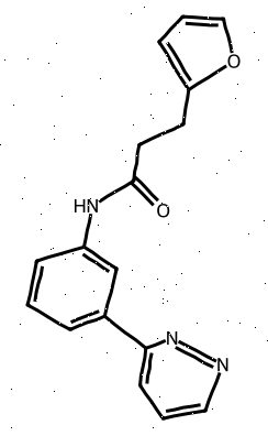 O=C(CCc1ccco1)Nc1cccc(-c2cccnn2)c1